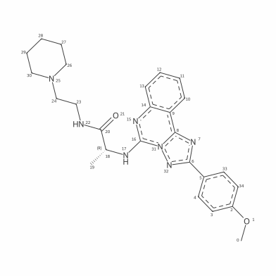 COc1ccc(-c2nc3c4ccccc4nc(N[C@H](C)C(=O)NCCN4CCCCC4)n3n2)cc1